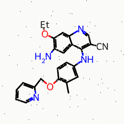 CCOc1cc2ncc(C#N)c(Nc3ccc(OCc4ccccn4)c(C)c3)c2cc1N